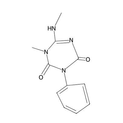 CNc1nc(=O)n(-c2ccccc2)c(=O)n1C